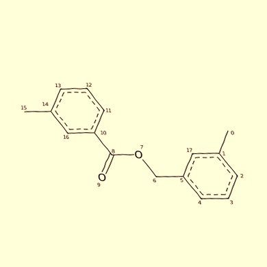 Cc1cccc(COC(=O)c2cccc(C)c2)c1